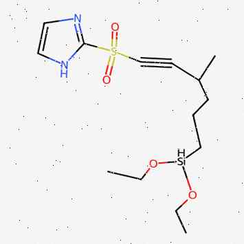 CCO[SiH](CCCC(C)C#CS(=O)(=O)c1ncc[nH]1)OCC